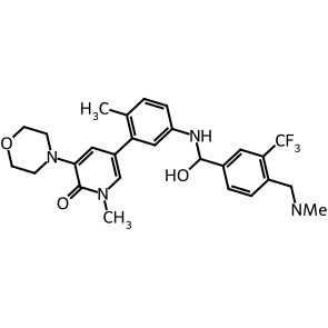 CNCc1ccc(C(O)Nc2ccc(C)c(-c3cc(N4CCOCC4)c(=O)n(C)c3)c2)cc1C(F)(F)F